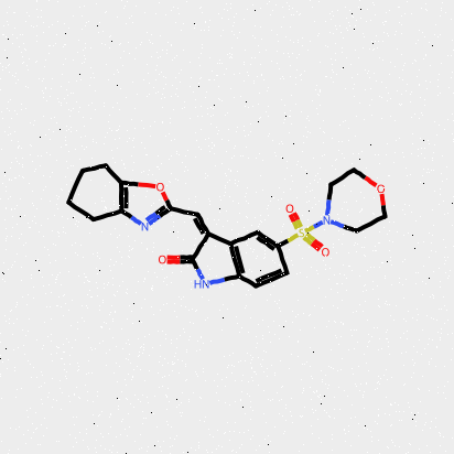 O=C1Nc2ccc(S(=O)(=O)N3CCOCC3)cc2C1=Cc1nc2c(o1)CCCC2